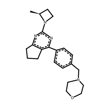 C[C@H]1CCN1c1nc2c(c(-c3ccc(CN4CCOCC4)cc3)n1)CCC2